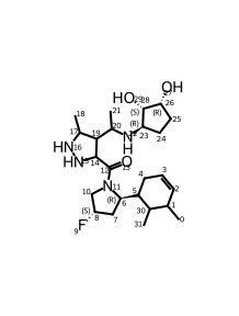 CC1C=CCC([C@H]2C[C@H](F)CN2C(=O)C2NNC(C)C2C(C)N[C@@H]2CC[C@@H](O)[C@H]2O)C1C